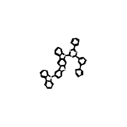 c1ccc(-c2cccc(-c3nc(-c4ccccc4)nc(-n4c5ccccc5c5cc6c(cc54)oc4ccc(-n5c7ccccc7c7ccccc75)cc46)n3)c2)cc1